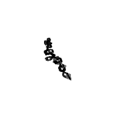 CS(=O)(=O)OCC1CCC(CC(=O)N2CCN(c3ccc(C#N)cn3)CC2)O1